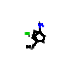 Cl.NC12CCC(C(=O)O)(CC1)C2